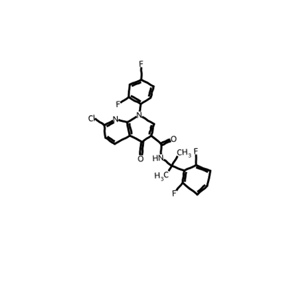 CC(C)(NC(=O)c1cn(-c2ccc(F)cc2F)c2nc(Cl)ccc2c1=O)c1c(F)cccc1F